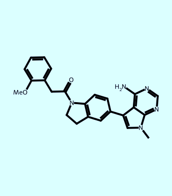 COc1ccccc1CC(=O)N1CCc2cc(-c3cn(C)c4ncnc(N)c34)ccc21